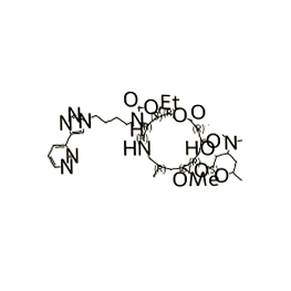 CC[C@H]1OC(=O)[C@H](C)C(=O)C[C@@H](O[C@@H]2OC(C)CC(N(C)C)C2O)[C@@](C)(OC)C[C@@H](C)CN[C@H](C)[C@H]2N(CCCCn3cc(-c4cccnn4)nn3)C(=O)O[C@]12C